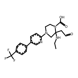 CCNC1(CC=O)CN(c2ccc(-c3ccc(C(F)(F)F)cc3)cn2)CCN1C(=O)O